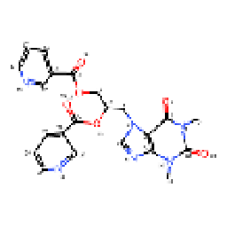 Cn1c(=O)c2c(ncn2CC(COC(=O)c2cccnc2)OC(=O)c2cccnc2)n(C)c1=O